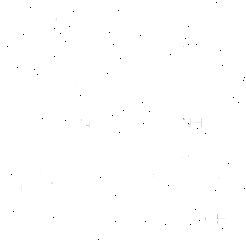 C[Si]1(C)C2=C(NC(=O)CO)[CH]([Zr+2])c3cccc1c32.[Cl-].[Cl-]